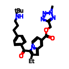 CCc1cc2cc(C(=O)OCc3nnn(C)n3)ccn2c1C(=O)c1ccc(CCCNC(C)(C)C)cc1